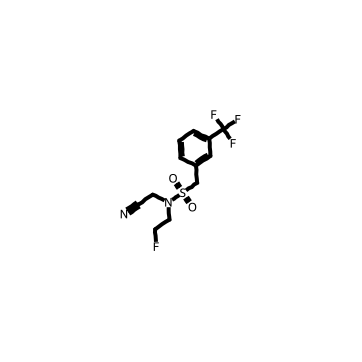 N#CCN(CCF)S(=O)(=O)Cc1cccc(C(F)(F)F)c1